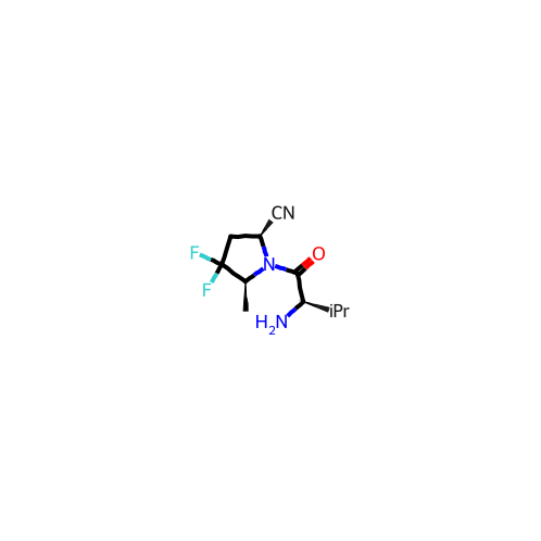 CC(C)[C@@H](N)C(=O)N1[C@H](C#N)CC(F)(F)[C@@H]1C